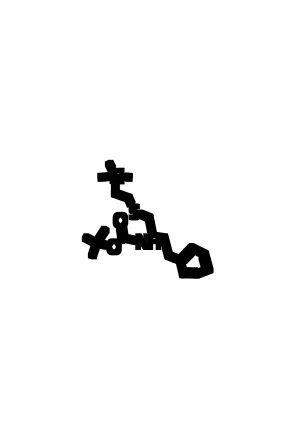 CC(C)(C)OC(=O)N[C@H](CCc1ccccc1)CSCC[Si](C)(C)C